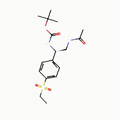 CCS(=O)(=O)c1ccc([C@H](CNC(C)=O)NC(=O)OC(C)(C)C)cc1